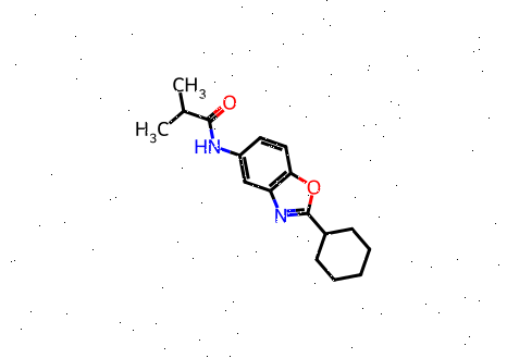 CC(C)C(=O)Nc1ccc2oc(C3CCCCC3)nc2c1